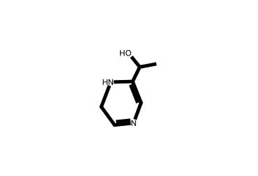 CC(O)C1=CN=CCN1